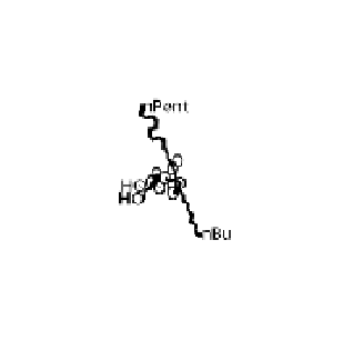 CCCC/C=C\CCCCCCCC(=O)O[C@H](COC(=O)CCC/C=C\C/C=C\C/C=C\C/C=C\CCCCC)COP(=O)(O)OC[C@@H](O)CO